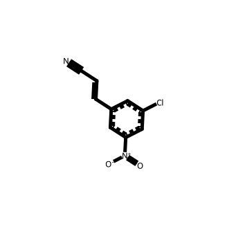 N#C/C=C/c1cc(Cl)cc([N+](=O)[O-])c1